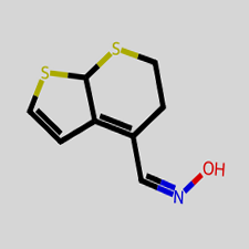 O/N=C\C1=C2C=CSC2SCC1